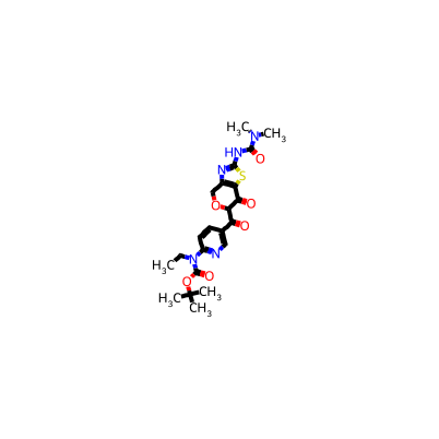 CCN(C(=O)OC(C)(C)C)c1ccc(C(=O)C2OCc3nc(NC(=O)N(C)C)sc3C2=O)cn1